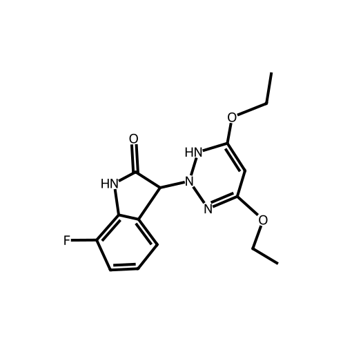 CCOC1=CC(OCC)=NN(C2C(=O)Nc3c(F)cccc32)N1